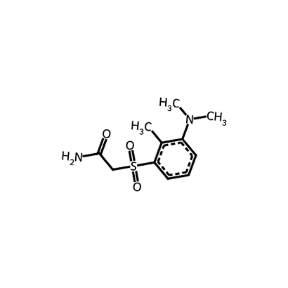 Cc1c(N(C)C)cccc1S(=O)(=O)CC(N)=O